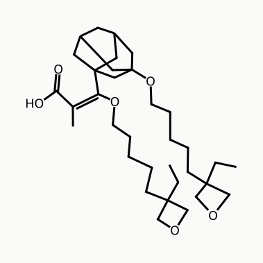 CCC1(CCCCCOC(=C(C)C(=O)O)C23CC4CC(CC(OCCCCCC5(CC)COC5)(C4)C2)C3)COC1